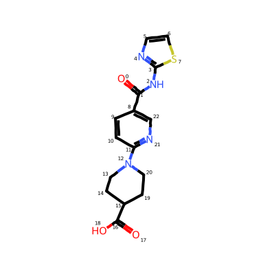 O=C(Nc1nccs1)c1ccc(N2CCC(C(=O)O)CC2)nc1